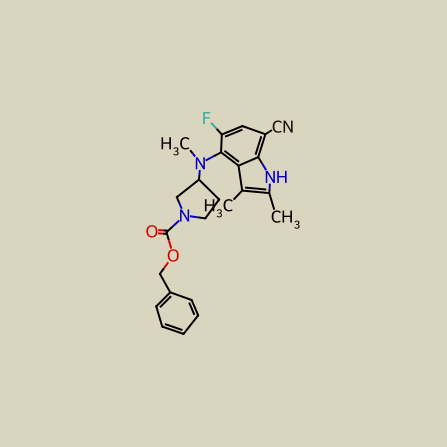 Cc1[nH]c2c(C#N)cc(F)c(N(C)C3CCN(C(=O)OCc4ccccc4)C3)c2c1C